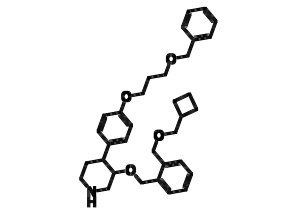 c1ccc(COCCCOc2ccc(C3CCNCC3OCc3ccccc3COCC3CCC3)cc2)cc1